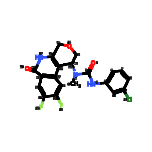 CN(C(=O)Nc1cccc(Cl)c1)[C@H]1COCc2[nH]c(=O)c3cc(F)c(F)cc3c21